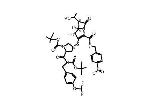 CC(O)[C@H]1C(=O)N2C(C(=O)OCc3ccc([N+](=O)[O-])cc3)=C(S[C@H]3CC(C(=O)N(Cc4ccc(OC(F)F)cc4)C(=O)OC(C)(C)C)N(C(=O)OC(C)(C)C)C3)[C@H](C)[C@H]12